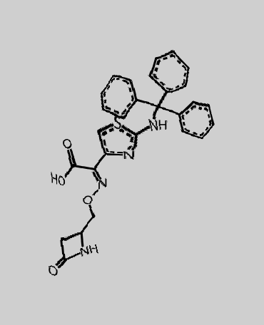 O=C1CC(CON=C(C(=O)O)c2csc(NC(c3ccccc3)(c3ccccc3)c3ccccc3)n2)N1